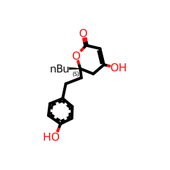 CCCC[C@]1(CCc2ccc(O)cc2)CC(O)=CC(=O)O1